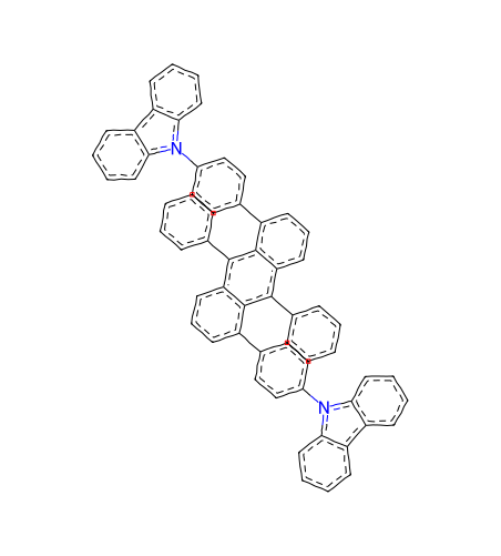 c1ccc(-c2c3cccc(-c4ccc(-n5c6ccccc6c6ccccc65)cc4)c3c(-c3ccccc3)c3cccc(-c4ccc(-n5c6ccccc6c6ccccc65)cc4)c23)cc1